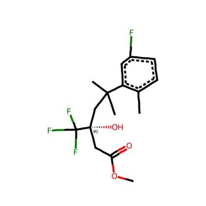 COC(=O)C[C@](O)(CC(C)(C)c1cc(F)ccc1C)C(F)(F)F